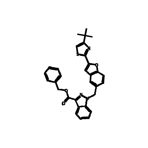 CC(C)(C)c1csc(-c2cc3cc(Cn4nc(C(=O)OCc5ccccc5)c5ccccc54)ccc3o2)n1